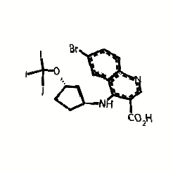 O=C(O)c1cnc2ccc(Br)cc2c1N[C@H]1CC[C@H](OC(I)(I)I)C1